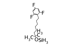 CC(C)(CCCCCCc1c(F)cc(F)cc1F)O[SiH3]